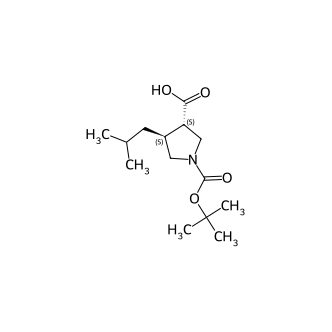 CC(C)C[C@@H]1CN(C(=O)OC(C)(C)C)C[C@H]1C(=O)O